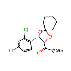 COC(=O)[C@@H]1OC2(CCCCC2)O[C@H]1c1ccc(Cl)cc1Cl